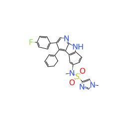 CN(c1ccc2[nH]c3ncc(-c4ccc(F)cc4)c(C4=CC=CCC4)c3c2c1)S(=O)(=O)c1cn(C)cn1